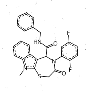 Cn1c2c(c3ccccc31)C(C(=O)NCc1ccccc1)N(c1cc(F)ccc1F)C(=O)CS2